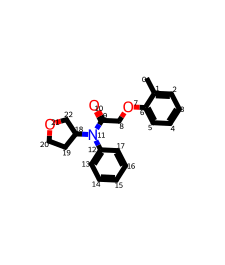 Cc1ccccc1OCC(=O)N(c1ccccc1)C1CCOC1